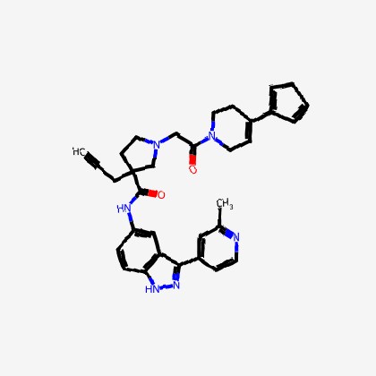 C#CCC1(C(=O)Nc2ccc3[nH]nc(-c4ccnc(C)c4)c3c2)CCN(CC(=O)N2CC=C(C3=CCC=C3)CC2)C1